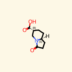 O=C(O)[C@@H]1CC[C@H]2CCC(=O)N2C1